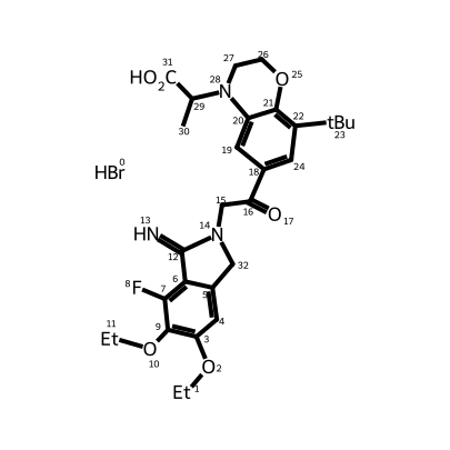 Br.CCOc1cc2c(c(F)c1OCC)C(=N)N(CC(=O)c1cc3c(c(C(C)(C)C)c1)OCCN3C(C)C(=O)O)C2